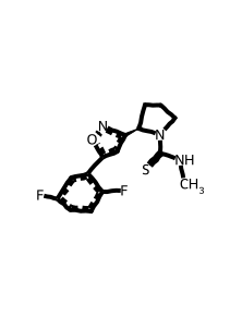 CNC(=S)N1CCC[C@@H]1c1cc(-c2cc(F)ccc2F)on1